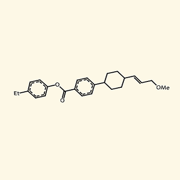 CCc1ccc(OC(=O)c2ccc(C3CCC(C=CCOC)CC3)cc2)cc1